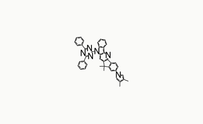 Cc1cn(-c2ccc3c(c2)C(C)(C)c2cc4c(nc2-3)c2ccccc2n4-c2nc(-c3ccccc3)nc(-c3ccccc3)n2)cc1C